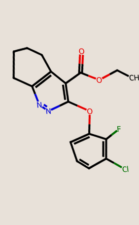 CCOC(=O)c1c(Oc2cccc(Cl)c2F)nnc2c1CCCC2